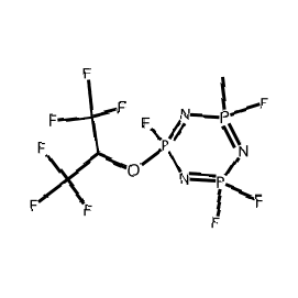 CP1(F)=NP(F)(F)=NP(F)(OC(C(F)(F)F)C(F)(F)F)=N1